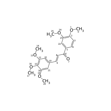 COc1ccc(C(=O)/C=C/c2cc(OC)c(OC)c(OC)c2)cc1OC